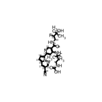 CC(C)(CCNC(=O)O)Nc1cc(-c2ccc3cc(C#N)cnn23)ncc1C(=O)NCC(F)C(C)(C)O